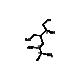 CC(=O)OCC(O[C@@H](OC(C)=O)[C@H](C)N)[C@H](O)CO